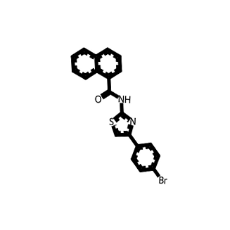 O=C(Nc1nc(-c2ccc(Br)cc2)cs1)c1cccc2ccccc12